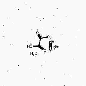 N=O.O.O=C(O)C(=O)O.[Nb]